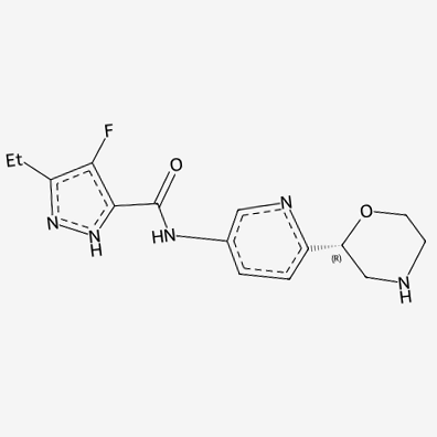 CCc1n[nH]c(C(=O)Nc2ccc([C@H]3CNCCO3)nc2)c1F